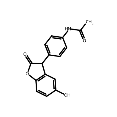 CC(=O)Nc1ccc(C2C(=O)Oc3ccc(O)cc32)cc1